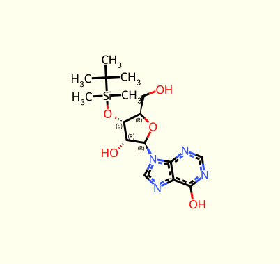 CC(C)(C)[Si](C)(C)O[C@H]1[C@@H](O)[C@H](n2cnc3c(O)ncnc32)O[C@@H]1CO